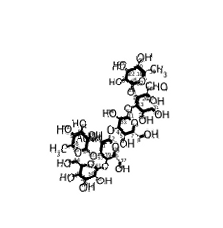 CC(=O)N[C@H]1[C@H](O[C@H]2[C@@H](O)[C@@H](CO)O[C@@H](O[C@@H]([C@H](O[C@@H]3O[C@@H](C)[C@@H](O)[C@@H](O)[C@@H]3O)[C@@H](O)C=O)[C@H](O)CO)[C@@H]2O)O[C@H](CO)[C@@H](O[C@@H]2O[C@H](CO)[C@H](O)[C@H](O)[C@H]2O)[C@@H]1O[C@@H]1O[C@@H](C)[C@@H](O)[C@@H](O)[C@@H]1O